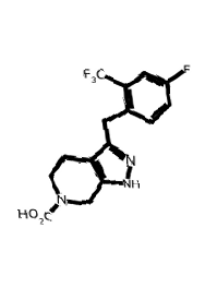 O=C(O)N1CCc2c(Cc3ccc(F)cc3C(F)(F)F)n[nH]c2C1